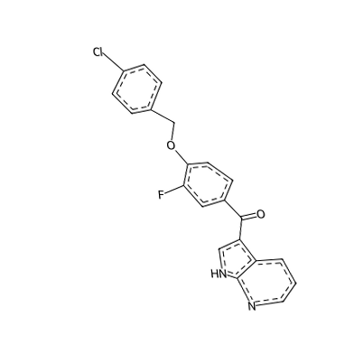 O=C(c1ccc(OCc2ccc(Cl)cc2)c(F)c1)c1c[nH]c2ncccc12